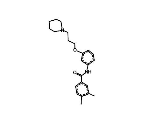 Cc1ccc(C(=O)Nc2cccc(OCCCN3CCCCC3)c2)cc1C